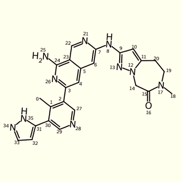 Cc1c(-c2cc3cc(Nc4cc5n(n4)CC(=O)N(C)CC5)ncc3c(N)n2)cncc1-c1ccn[nH]1